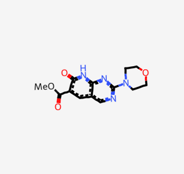 COC(=O)c1cc2cnc(N3CCOCC3)nc2[nH]c1=O